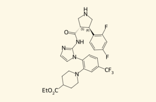 CCOC(=O)C1CCN(c2cc(C(F)(F)F)ccc2-n2ccnc2NC(=O)[C@@H]2CNC[C@H]2c2ccc(F)cc2F)CC1